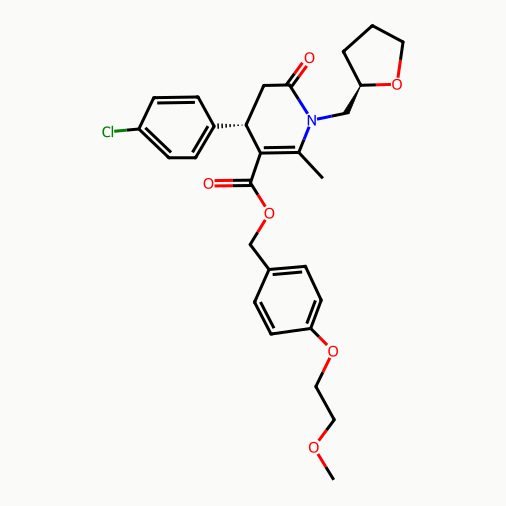 COCCOc1ccc(COC(=O)C2=C(C)N(C[C@H]3CCCO3)C(=O)C[C@H]2c2ccc(Cl)cc2)cc1